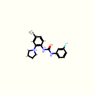 O=C(Nc1cccc(F)c1)Nc1ccc([N+](=O)[O-])cc1N1CCCC1